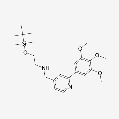 COc1cc(-c2cc(CNCCO[Si](C)(C)C(C)(C)C)ccn2)cc(OC)c1OC